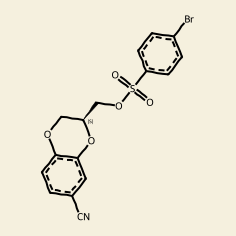 N#Cc1ccc2c(c1)O[C@H](COS(=O)(=O)c1ccc(Br)cc1)CO2